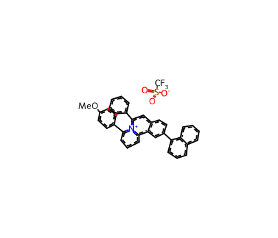 COc1ccc(-c2cccc3c4cc(-c5cccc6ccccc56)ccc4cc(-c4ccccc4)[n+]23)cc1.O=S(=O)([O-])C(F)(F)F